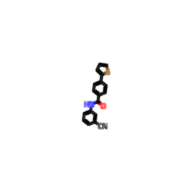 N#Cc1cccc(NC(=O)c2ccc(-c3cccs3)cc2)c1